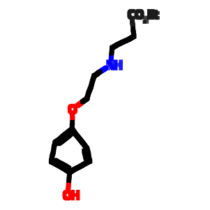 CCOC(=O)CCNCCOc1ccc(O)cc1